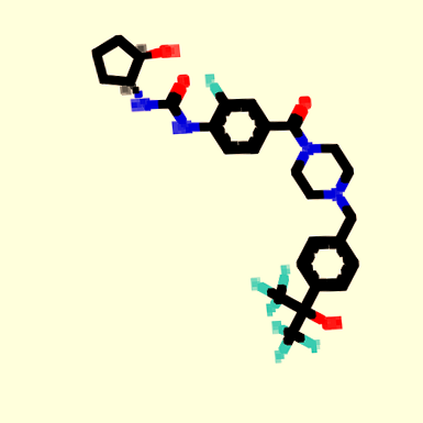 O=C(Nc1ccc(C(=O)N2CCN(Cc3ccc(C(O)(C(F)(F)F)C(F)(F)F)cc3)CC2)cc1F)N[C@@H]1CCC[C@H]1O